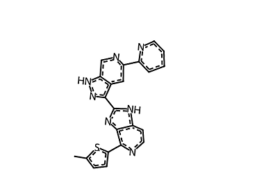 Cc1ccc(-c2nccc3[nH]c(-c4n[nH]c5cnc(-c6ccccn6)cc45)nc23)s1